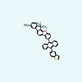 CC(C)(C)c1ccc2c(c1)-c1ccc3c(oc4ccc(-c5c6ccccc6c(-c6ccc7sccc7c6)c6ccccc56)cc43)c1C2(C)C